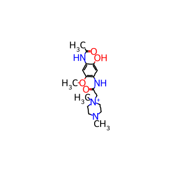 COc1cc(NC(C)=O)c(O)cc1NC(=O)C[N+]1(C)CCN(C)CC1